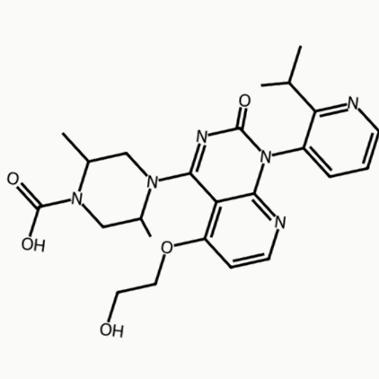 CC(C)c1ncccc1-n1c(=O)nc(N2CC(C)N(C(=O)O)CC2C)c2c(OCCO)ccnc21